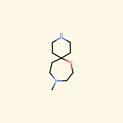 CN1CCOC2(CCNCC2)CC1